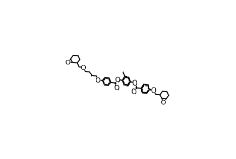 Cc1cc(OC(=O)c2ccc(OCC3CCCC4OC34)cc2)ccc1OC(=O)c1ccc(OCCCCOCC2CCCC3OC23)cc1